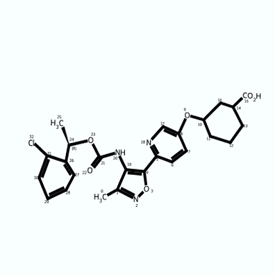 Cc1noc(-c2ccc(OC3CCCC(C(=O)O)C3)cn2)c1NC(=O)O[C@H](C)c1ccccc1Cl